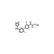 Cc1cnc(Nc2cnn(C)c2)nc1-c1ccc(C(=O)NCC#N)c(F)c1